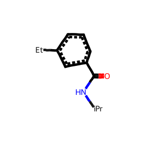 CCc1cccc(C(=O)NC(C)C)c1